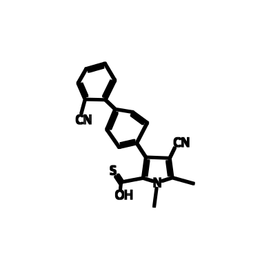 Cc1c(C#N)c(-c2ccc(-c3ccccc3C#N)cc2)c(C(O)=S)n1C